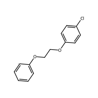 Clc1ccc(OCCOc2[c]cccc2)cc1